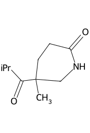 CC(C)C(=O)C1(C)CCC(=O)NC1